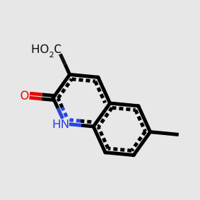 Cc1ccc2[nH]c(=O)c(C(=O)O)cc2c1